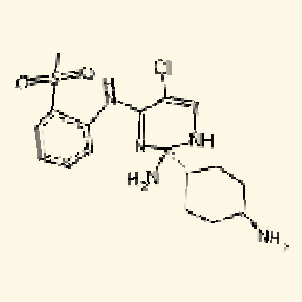 CS(=O)(=O)c1ccccc1NC1=NC(N)([C@H]2CC[C@H](N)CC2)NC=C1Cl